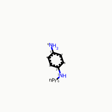 CCCNc1[c]cc(N)cc1